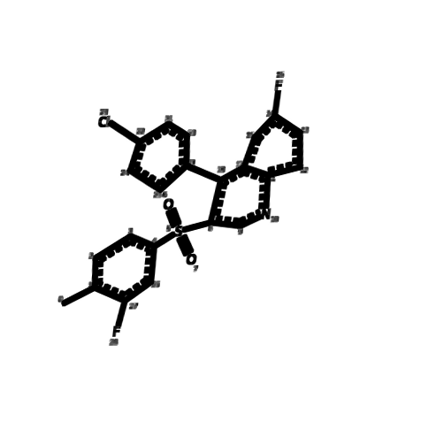 Cc1ccc(S(=O)(=O)c2cnc3ccc(F)cc3c2-c2ccc(Cl)cc2)cc1F